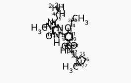 [2H]C([2H])([2H])CCc1nn(C)c2c(=O)[nH]c(-c3cc(S(=O)(=O)NCCC4CCCN4C)ccc3OCCC)nc12